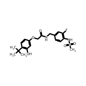 CC(C)(C)c1ccc(OCC(=O)NCc2ccc(NS(C)(=O)=O)c(F)c2)cc1O